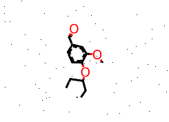 [CH2]CC(CC)Oc1ccc(C=O)cc1OC